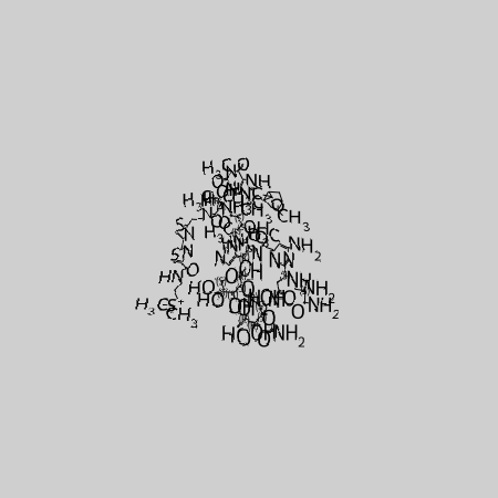 CC12CCC(CC1)C(C)(C)O2.Cc1c(N)nc([C@H](CC(N)=O)NC[C@H](N)C(N)=O)nc1C(=O)N[C@H](C(=O)N[C@H](C)[C@@H](O)[C@H](C)C(=O)N[C@H](C(=O)NCCc1nc(-c2nc(C(=O)NCCC[S+](C)C)cs2)cs1)[C@@H](C)O)[C@@H](O[C@@H]1O[C@@H](CO)[C@@H](O)[C@H](O)[C@@H]1O[C@H]1O[C@H](CO)[C@@H](O)[C@H](OC(N)=O)[C@@H]1O)c1cnc[nH]1.Cn1c(=O)c2[nH]cnc2n(C)c1=O